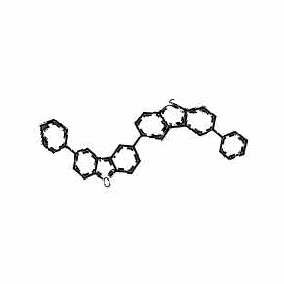 c1ccc(-c2ccc3oc4ccc(-c5ccc6sc7ccc(-c8ccccc8)cc7c6c5)cc4c3c2)cc1